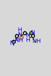 CNCc1ccc2nccc(Nc3cccc(C(=O)Nc4cccc(Nc5ccnc(C)c5)c4)c3)c2c1C